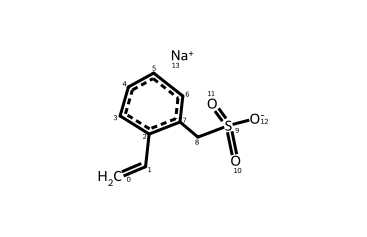 C=Cc1ccccc1CS(=O)(=O)[O-].[Na+]